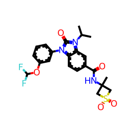 CC(C)n1c(=O)n(-c2cccc(OC(F)F)c2)c2ccc(C(=O)NC3(C)CS(=O)(=O)C3)cc21